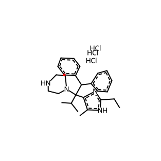 CCc1nc(C(C(C)C)(C(c2ccccc2)c2ccccc2)N2CCNCC2)c(C)[nH]1.Cl.Cl.Cl